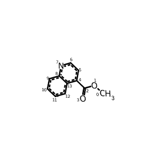 COC(=O)c1ccnc2cc[c]cc12